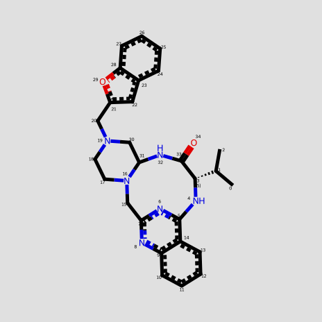 CC(C)[C@@H]1Nc2nc(nc3ccccc23)CN2CCN(Cc3cc4ccccc4o3)CC2NC1=O